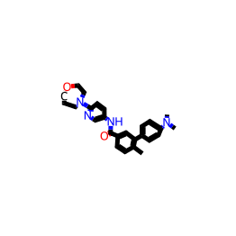 Cc1ccc(C(=O)Nc2ccc(N3CCCOCC3)nc2)cc1-c1ccc(N(C)C)cc1